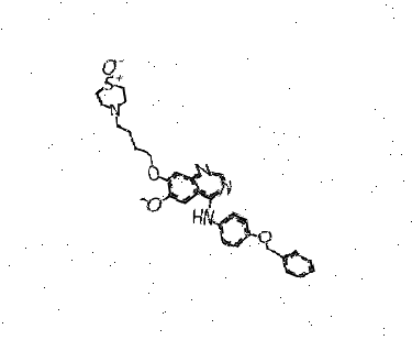 COc1cc2c(Nc3ccc(OCc4ccccc4)cc3)ncnc2cc1OCCCCN1CC[S+]([O-])CC1